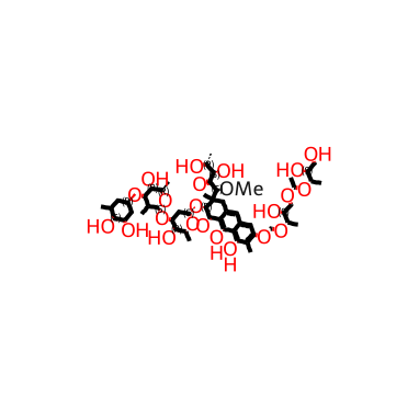 CO[C@H](C(=O)[C@@H](O)[C@@H](C)O)C1(C)Cc2cc3cc(OCOC(C)[C@@H](O)COC(C)OC(C)[C@@H](O)CO)c(C)c(O)c3c(O)c2C(=O)[C@@H]1O[C@H]1CC(O[C@@H]2O[C@H](C)[C@@H](O)C(O[C@@H]3CC(C)[C@H](O)C(O)C3)C2C)[C@H](O)C(C)O1